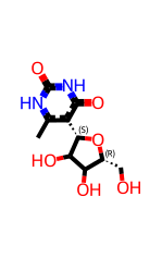 Cc1[nH]c(=O)[nH]c(=O)c1[C@@H]1O[C@H](CO)C(O)C1O